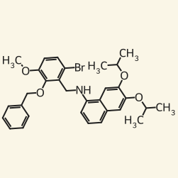 COc1ccc(Br)c(CNc2cccc3cc(OC(C)C)c(OC(C)C)cc23)c1OCc1ccccc1